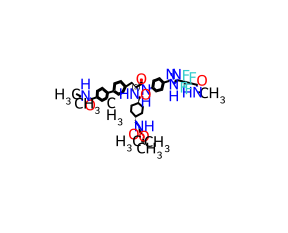 CNC(=O)C(F)(F)C(F)(F)c1nnc(-c2ccc(NC(=O)[C@H](Cc3ccc(-c4ccc(C(=O)NC(C)C)cc4C)cc3)NC(=O)[C@H]3CC[C@H](CNC(=O)OC(C)(C)C)CC3)cc2)[nH]1